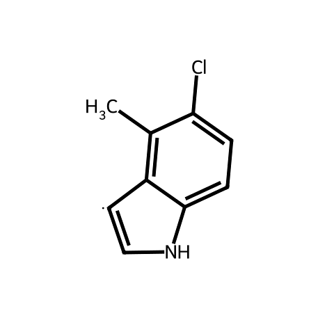 Cc1c(Cl)ccc2[nH]c[c]c12